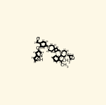 CC(C)c1ccccc1C1CN(C2COC2)CCN1C1CC2(CCN(c3ccc(C=O)c(Oc4cnc5[nH]ccc5c4)c3)CC2)C1